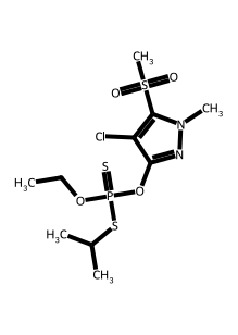 CCOP(=S)(Oc1nn(C)c(S(C)(=O)=O)c1Cl)SC(C)C